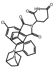 O=C1CCC(N2C(=O)c3ccc(N4CC5CC(C4)N5Cc4ccccc4-c4ccc(Cl)cc4)cc3C2=O)C(=O)N1